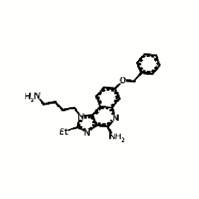 CCc1nc2c(N)nc3cc(OCc4ccccc4)ccc3c2n1CCCCN